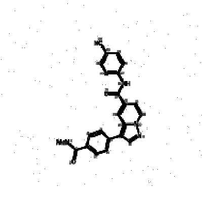 CNC(=O)c1ccc(-c2cnn3ccc(C(=O)Nc4ccc(C#N)cn4)cc23)cc1